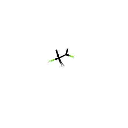 CCC(C)(F)C(C)F